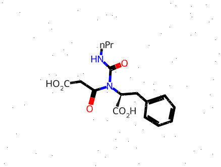 CCCNC(=O)N(C(=O)CC(=O)O)[C@@H](Cc1ccccc1)C(=O)O